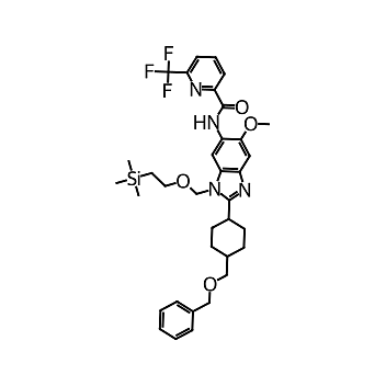 COc1cc2nc(C3CCC(COCc4ccccc4)CC3)n(COCC[Si](C)(C)C)c2cc1NC(=O)c1cccc(C(F)(F)F)n1